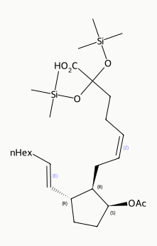 CCCCCC/C=C/[C@H]1CC[C@H](OC(C)=O)[C@@H]1C/C=C\CCC(O[Si](C)(C)C)(O[Si](C)(C)C)C(=O)O